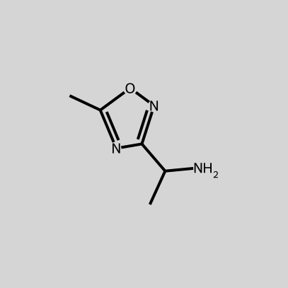 Cc1nc(C(C)N)no1